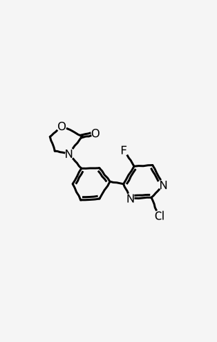 O=C1OCCN1c1cccc(-c2nc(Cl)ncc2F)c1